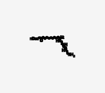 CCCCCCCCCCCC(=O)CCCCCCCCCC(CC)NCCNCCNCCN